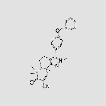 Cn1nc2c(c1-c1ccc(Oc3ccccc3)cc1)CCC1C(C)(C)C(=O)C(C#N)=CC21C